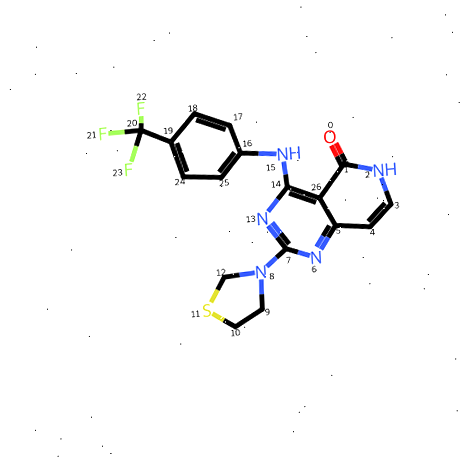 O=c1[nH]ccc2nc(N3CCSC3)nc(Nc3ccc(C(F)(F)F)cc3)c12